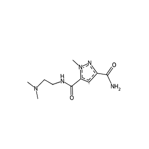 CN(C)CCNC(=O)c1[c]c(C(N)=O)nn1C